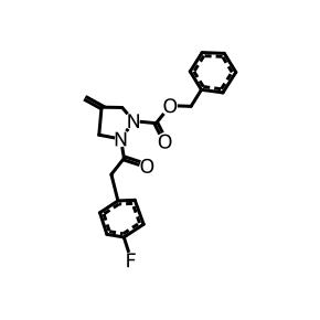 C=C1CN(C(=O)Cc2ccc(F)cc2)N(C(=O)OCc2ccccc2)C1